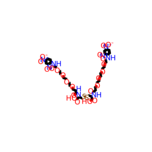 O=C(CCOCCOCCOCCOCCNc1ccc([N+](=O)[O-])cc1[N+](=O)[O-])NC(CSSCC(NC(=O)CCOCCOCCOCCOCCNc1ccc([N+](=O)[O-])cc1[N+](=O)[O-])C(=O)O)C(=O)O